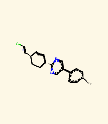 CCCc1ccc(-c2cnc([C@H]3CC[C@H](/C=C/Cl)CC3)nc2)cc1